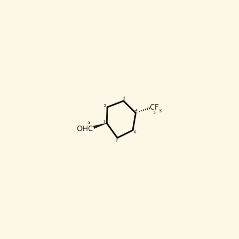 O=C[C@H]1CC[C@H](C(F)(F)F)CC1